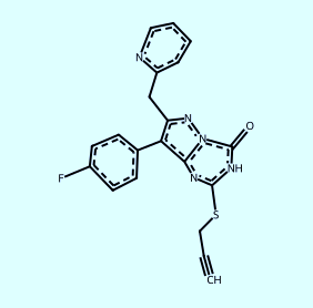 C#CCSc1nc2c(-c3ccc(F)cc3)c(Cc3ccccn3)nn2c(=O)[nH]1